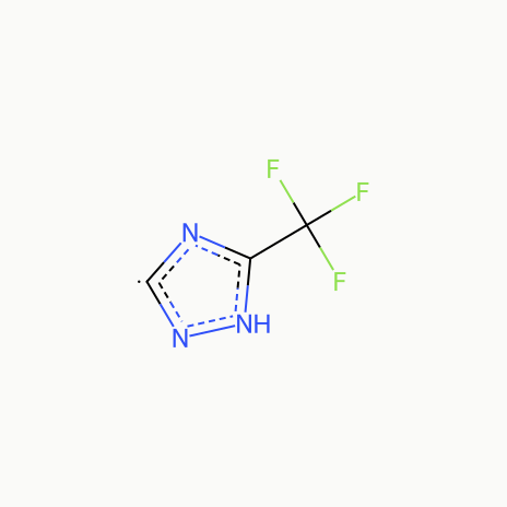 FC(F)(F)c1n[c]n[nH]1